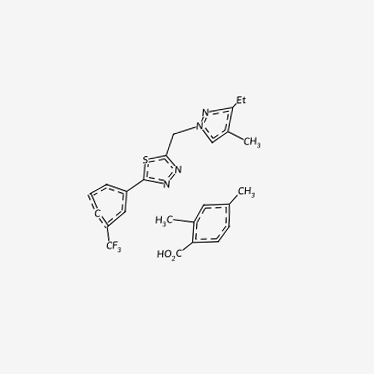 CCc1nn(Cc2nnc(-c3cccc(C(F)(F)F)c3)s2)cc1C.Cc1ccc(C(=O)O)c(C)c1